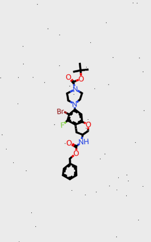 CC(C)(C)OC(=O)N1CCN(c2cc3c(c(F)c2Br)CC(NC(=O)OCc2ccccc2)CO3)CC1